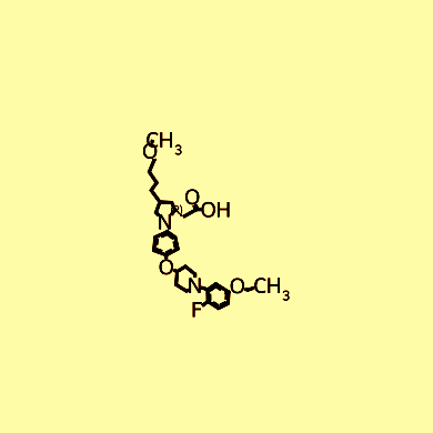 CCOc1ccc(F)c(N2CCC(Oc3ccc(N4CC(CCCCOC)C[C@@H]4CC(=O)O)cc3)CC2)c1